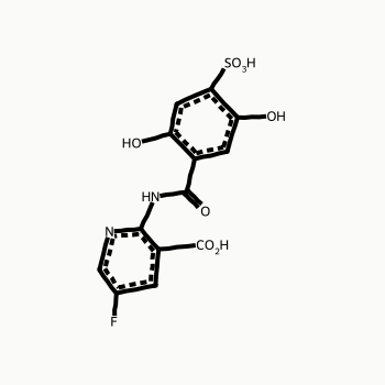 O=C(Nc1ncc(F)cc1C(=O)O)c1cc(O)c(S(=O)(=O)O)cc1O